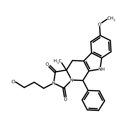 COc1ccc2[nH]c3c(c2c1)CC1(C)C(=O)N(CCCCl)C(=O)N1C3c1ccccc1